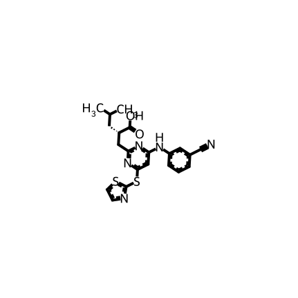 CC(C)C[C@@H](Cc1nc(Nc2cccc(C#N)c2)cc(Sc2nccs2)n1)C(=O)O